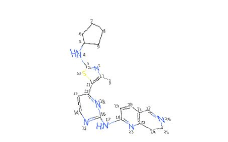 Cc1nc(NC2CCCC2)sc1-c1ccnc(Nc2ccc3c(n2)CCN=C3)n1